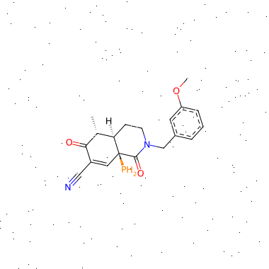 COc1cccc(CN2CC[C@@H]3[C@@H](C)C(=O)C(C#N)=C[C@@]3(P)C2=O)c1